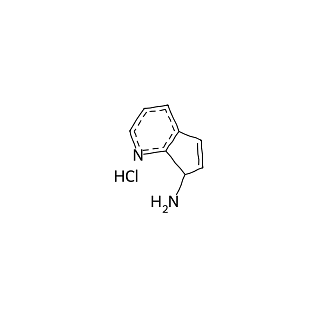 Cl.NC1C=Cc2cccnc21